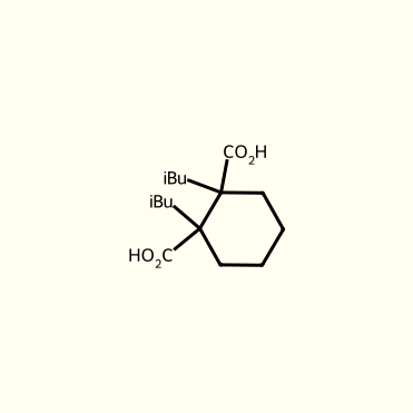 CCC(C)C1(C(=O)O)CCCCC1(C(=O)O)C(C)CC